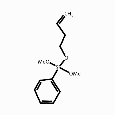 C=CCCO[Si](OC)(OC)c1ccccc1